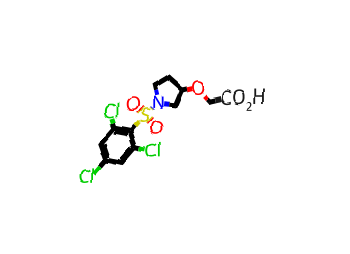 O=C(O)COC1CCN(S(=O)(=O)c2c(Cl)cc(Cl)cc2Cl)C1